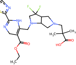 CCOC(=O)C1=C(CN2CC(F)(F)C3CN(CC(C)(C)C(=O)O)CC32)NC(c2nccs2)=NC1